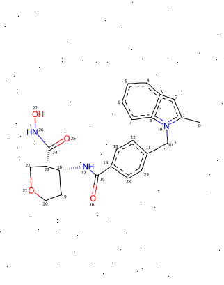 Cc1cc2ccccc2n1Cc1ccc(C(=O)N[C@@H]2CCOC[C@@H]2C(=O)NO)cc1